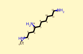 CCNCCCC(N)CCCCCCN